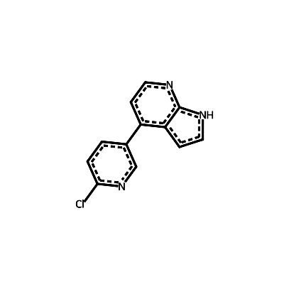 Clc1ccc(-c2ccnc3[nH]ccc23)cn1